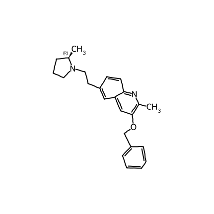 Cc1nc2ccc(CCN3CCC[C@H]3C)cc2cc1OCc1ccccc1